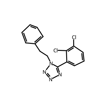 Clc1cccc(-c2nnnn2CCc2ccccc2)c1Cl